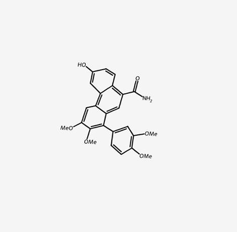 COc1ccc(-c2c(OC)c(OC)cc3c2cc(C(N)=O)c2ccc(O)cc23)cc1OC